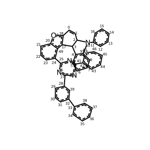 C1=CC2C(c3ccccc3N2c2ccccc2)c2c1oc1cccc(-c3nc(-c4cccc(-c5ccccc5)c4)nc(-c4ccccn4)n3)c21